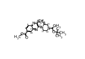 COC(=O)c1ccc2nc(C)c(N3CCN(C(=O)OC(C)(C)C)C[C@@H]3C)nc2c1